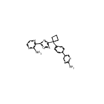 Nc1ncc(-c2ccc(C3(c4noc(-c5nccnc5N)n4)CCC3)cc2)cn1